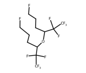 FCCCC(OC(CCCF)C(F)(F)C(F)(F)F)C(F)(F)C(F)(F)F